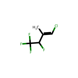 C/C(=C\Cl)C(F)C(F)(F)F